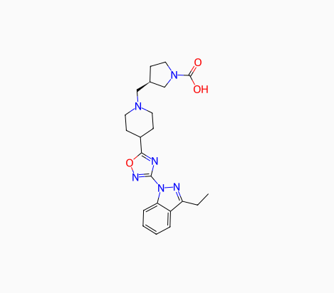 CCc1nn(-c2noc(C3CCN(C[C@H]4CCN(C(=O)O)C4)CC3)n2)c2ccccc12